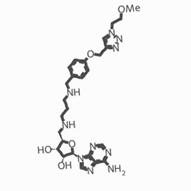 COCCn1cc(COc2ccc(CNCCCNC[C@H]3O[C@@H](n4cnc5c(N)ncnc54)[C@H](O)[C@@H]3O)cc2)nn1